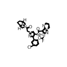 CN1[C@@H]2CC[C@H]1CN(C(=O)Cn1cc(NC(=O)c3cnn4cccnc34)c(-c3cc(Cl)ccc3OC(F)F)n1)C2